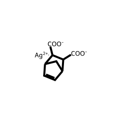 O=C([O-])C1C2C=CC(C2)C1C(=O)[O-].[Ag+2]